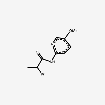 COc1ccc(NC(=O)C(C)Br)nc1